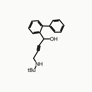 CC(C)(C)NCC#CC(O)c1ccccc1-c1ccccc1